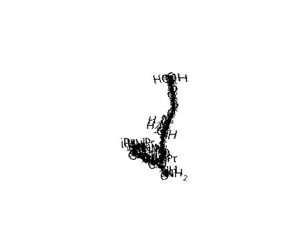 CNC(=O)[C@@H](NC(=O)[C@H](C(C)C)N(C)C(=O)OCc1ccc(NC(=O)[C@H](CCCNC(N)=O)NC(=O)[C@@H](NC(=O)[C@@H](N)CCCCNC(=O)CN(N)/C=C(\N)COCCOCCOCCOCCN(O)O)C(C)C)cc1)C(C)C